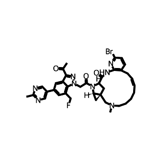 CC(=O)c1nn(CC(=O)N2[C@H]3C[C@]4(C[C@@H]24)CN(C)CCCC/C=C\Cc2ccc(Br)nc2NC3=O)c2c(CF)cc(-c3cnc(C)nc3)cc12